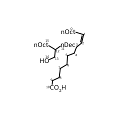 CCCCCCCC/C=C\CCCCCCCC(=O)O.CCCCCCCCCCC(CO)CCCCCCCC